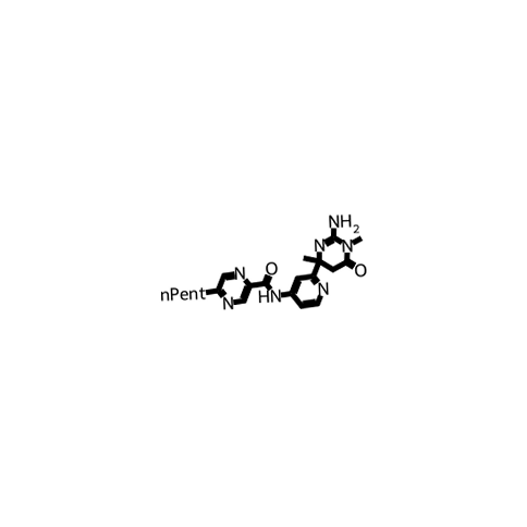 CCCCCc1cnc(C(=O)Nc2ccnc(C3(C)CC(=O)N(C)C(N)=N3)c2)cn1